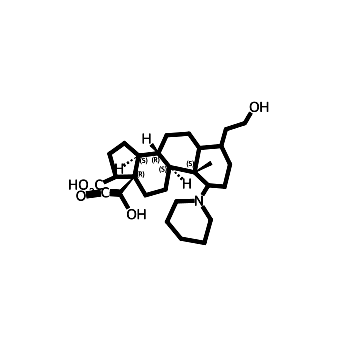 C[C@]12C(CC[C@@H]3[C@@H]1CC[C@]1(C(O)=C=O)C(C(=O)O)CC[C@@H]31)C(CCO)CCC2N1CCCCC1